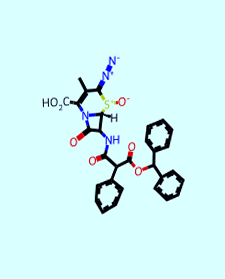 CC1=C(C(=O)O)N2C(=O)C(NC(=O)C(C(=O)OC(c3ccccc3)c3ccccc3)c3ccccc3)[C@H]2[S+]([O-])C1=[N+]=[N-]